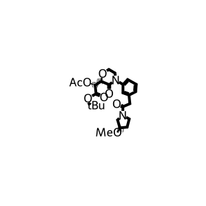 CO[C@@H]1CCN(C(=O)Cc2cccc(N3CCO[C@H]([C@@H](OC(C)=O)C(=O)OC(C)(C)C)C3=O)c2)C1